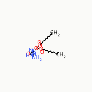 C=CCCCCCCCCC(=O)OCC(COC(=O)CCCCCCCCC=C)OCn1cnc2c(=O)[nH]c(N)nc21